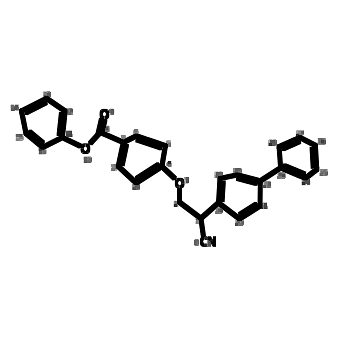 N#CC(COc1ccc(C(=O)Oc2ccccc2)cc1)c1ccc(-c2ccccc2)cc1